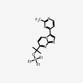 CC[Si](CC)(CC)OC(C)(C)c1ccn2c(-c3ccnc(C(F)(F)F)n3)cnc2n1